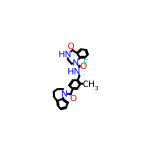 Cc1cc(C(=O)N2CCCCc3ccccc32)ccc1CNC(=O)N1CCNC(=O)c2cccc(F)c21